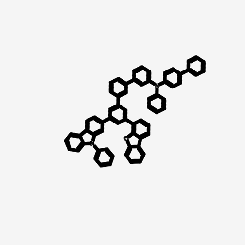 c1ccc(-c2ccc(N(c3ccccc3)c3cccc(-c4cccc(-c5cc(-c6ccc7c8ccccc8n(-c8ccccc8)c7c6)cc(-c6cccc7c6oc6ccccc67)c5)c4)c3)cc2)cc1